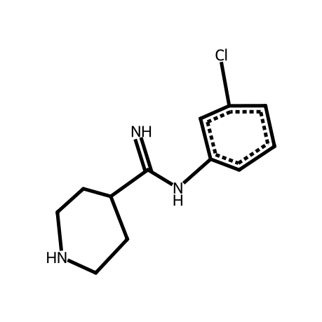 N=C(Nc1cccc(Cl)c1)C1CCNCC1